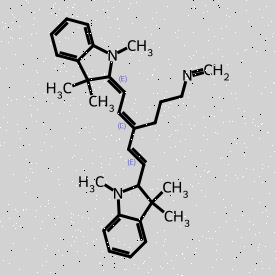 C=NCCCC(/C=C/C1N(C)c2ccccc2C1(C)C)=C\C=C1\N(C)c2ccccc2C1(C)C